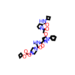 C[C@@H](NC(=O)c1cc(OCC(=O)N2CCC[C@H]2C(=O)NC2CCC2)n(-c2ccccc2)n1)C(=O)N1CCN(OC(=O)OC2CCC2)CC1